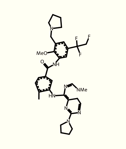 CN/C=N\C(Nc1cc(C(=O)Nc2cc(C(F)(F)CF)cc(CN3CCCC3)c2OC)ccc1C)=C1/CC=NC(N2CCCC2)=N1